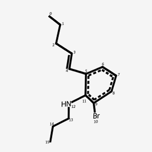 CCC/C=C/c1cccc(Br)c1NCCC